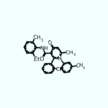 CCc1cccc(C)c1NC(=O)c1c(-c2ccccc2C)n(-c2cccc(C)c2)c(C)cc1=O